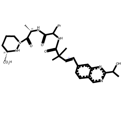 CC(O)c1ncc2ccc(/C=C/C(C)(C)C(=O)NC(C(=O)N[C@@H](C)C(=O)N3CCC[C@@H](C(=O)O)N3)C(C)C)cc2n1